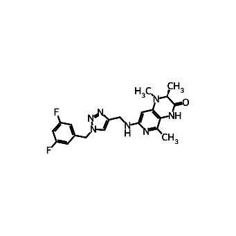 Cc1nc(NCc2cn(Cc3cc(F)cc(F)c3)nn2)cc2c1NC(=O)[C@H](C)N2C